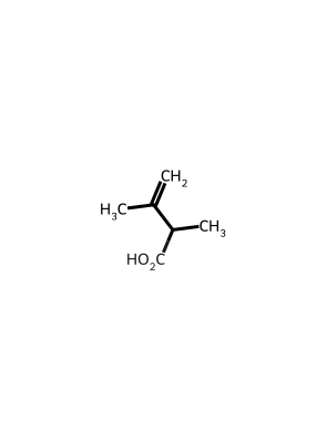 C=C(C)C(C)C(=O)O